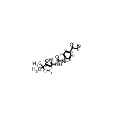 CC(C)(C)c1cc(NC(=O)Nc2ccc(C(=O)CBr)cc2)no1